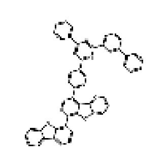 c1ccc(-c2cccc(-c3nc(-c4ccccc4)nc(-c4ccc(-c5ccc(-c6cccc7c6sc6ccccc67)c6oc7ccccc7c56)cc4)n3)c2)cc1